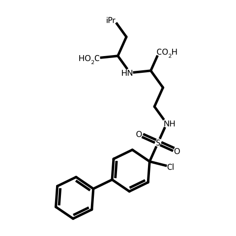 CC(C)CC(NC(CCNS(=O)(=O)C1(Cl)C=CC(c2ccccc2)=CC1)C(=O)O)C(=O)O